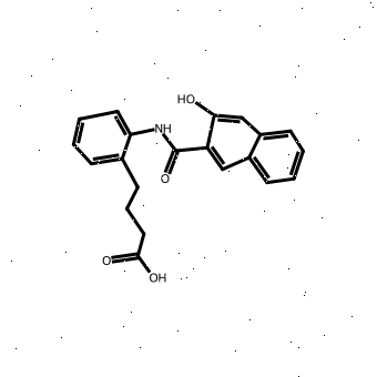 O=C(O)CCCc1ccccc1NC(=O)c1cc2ccccc2cc1O